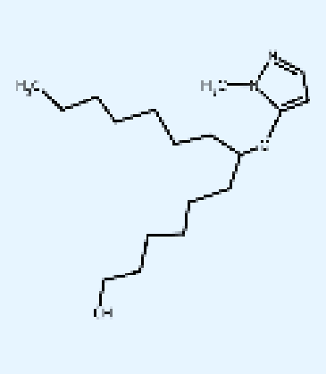 CCCCCCCC(CCCCCCC)Oc1ccnn1C